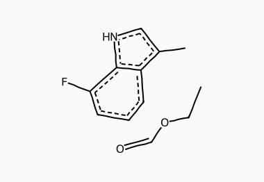 CCOC=O.Cc1c[nH]c2c(F)cccc12